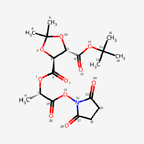 C[C@H](OC(=O)[C@H]1OC(C)(C)O[C@@H]1C(=O)OC(C)(C)C)C(=O)ON1C(=O)CCC1=O